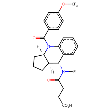 CC(C)N(C(=O)CCC(=O)O)[C@H]1c2ccccc2N(C(=O)c2ccc(OC(F)(F)F)cc2)[C@@H]2CCC[C@@H]21